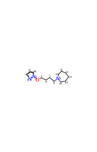 c1cnn(OCCCCN2CCCCCC2)c1